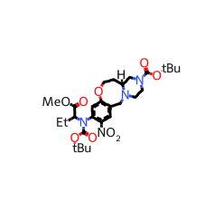 CCC(C(=O)OC)N(C(=O)OC(C)(C)C)c1cc2c(cc1[N+](=O)[O-])CN1CCN(C(=O)OC(C)(C)C)C[C@H]1CCO2